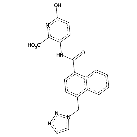 O=C(O)c1nc(O)ccc1NC(=O)c1ccc(Cn2ccnn2)c2ccccc12